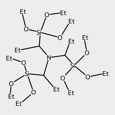 CCO[Si](OCC)(OCC)C(CC)N(C(CC)[Si](OCC)(OCC)OCC)C(CC)[Si](OCC)(OCC)OCC